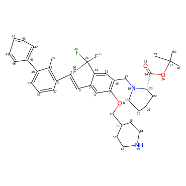 Cc1c(/C=C/c2cc(OCC3CCNCC3)c(CN3CCCC[C@H]3C(=O)OC(C)(C)C)cc2C(F)(F)F)cccc1-c1ccccc1